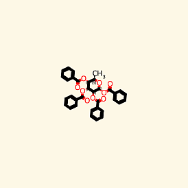 C[C@@H]1O[C@@H](OC(=O)c2ccccc2)[C@@H](OC(=O)c2ccccc2)[C@H](OC(=O)c2ccccc2)[C@@H]1OC(=O)c1ccccc1